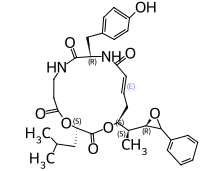 CC(C)C[C@@H]1OC(=O)CCNC(=O)[C@@H](Cc2ccc(O)cc2)NC(=O)/C=C/C[C@@H]([C@H](C)[C@H]2OC2c2ccccc2)OC1=O